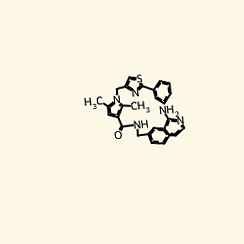 Cc1cc(C(=O)NCc2ccc3ccnc(N)c3c2)c(C)n1Cc1csc(-c2ccccc2)n1